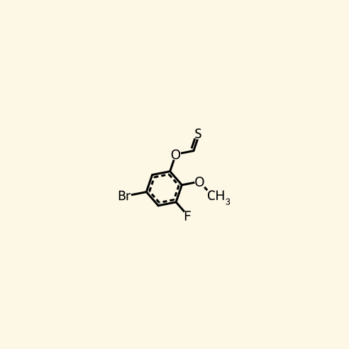 COc1c(F)cc(Br)cc1OC=S